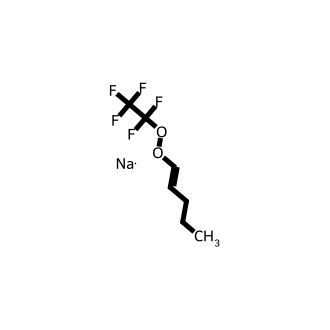 CCCC=COOC(F)(F)C(F)(F)F.[Na]